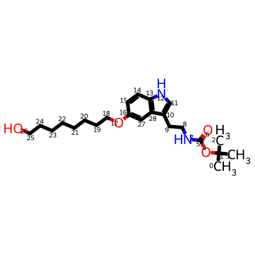 CC(C)(C)OC(=O)NCCc1c[nH]c2ccc(OCCCCCCCCO)cc12